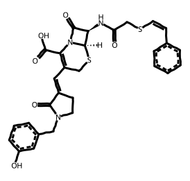 O=C(CS/C=C\c1ccccc1)N[C@@H]1C(=O)N2C(C(=O)O)=C(/C=C3\CCN(Cc4cccc(O)c4)C3=O)CS[C@H]12